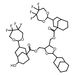 O=C(OCC1OC(C2CC3CCCC(C3)C2)OC1COC(=O)C12CCC(O)C(CC(C3OCC(F)(F)C(F)(F)CO3)C1)C2)C12CCCC(CC(C3OCC(F)(F)C(F)(F)CO3)C1)C2